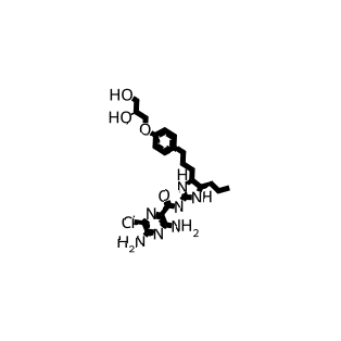 CCCC1N/C(=N/C(=O)c2nc(Cl)c(N)nc2N)NC1CCCc1ccc(OC[C@H](O)CO)cc1